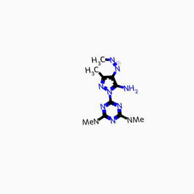 C/N=N\c1c(C)nn(-c2nc(NC)nc(NC)n2)c1N